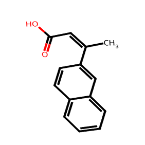 C/C(=C/C(=O)O)c1ccc2ccccc2c1